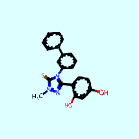 Cn1nc(-c2ccc(O)cc2O)n(-c2cccc(-c3ccccc3)c2)c1=S